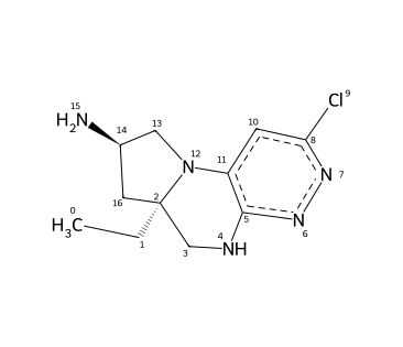 CC[C@@]12CNc3nnc(Cl)cc3N1C[C@H](N)C2